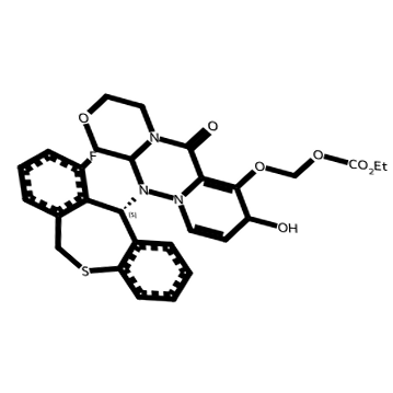 CCOC(=O)OCOC1=C2C(=O)N3CCOCC3N([C@@H]3c4ccccc4SCc4cccc(F)c43)N2C=CC1O